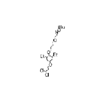 CCc1cc(OCC=C(Cl)Cl)cc(CC)c1OCCCCOCC=NOC(C)(C)C